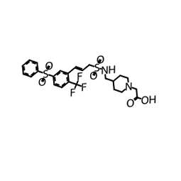 O=C(O)CN1CCC(CNS(=O)(=O)CC=Cc2cc(S(=O)(=O)c3ccccc3)ccc2C(F)(F)F)CC1